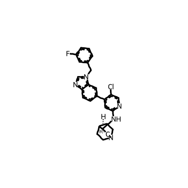 Fc1cccc(Cn2cnc3ccc(-c4cc(N[C@H]5CN6CCC5CC6)ncc4Cl)cc32)c1